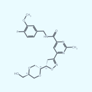 COc1cc(CNC(=O)c2cc(C3=NO[C@H]([C@H]4CO[C@H](CO)CO4)C3)nc(C)n2)ccc1F